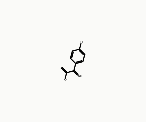 C=C(C(=N)c1ccc(Cl)cc1)C(C)=O